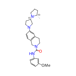 COc1cccc(NC(=O)N2CCc3cc(N4CC[C@H](N5CCC[C@@H]5C)C4)ccc3C2)c1